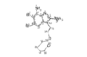 Bc1nc2c(N)c(Br)c(Br)cc2n1CCOC1CCCCO1